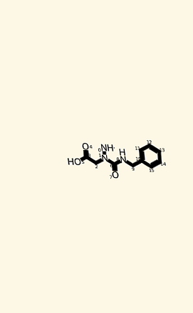 [NH]N(CC(=O)O)C(=O)NCc1ccccc1